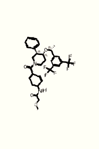 COCC(=O)NC1CCC(C(=O)N2CC[C@H](O[C@H](C)c3cc(C(F)(F)F)cc(C(F)(F)F)c3)[C@H](c3ccccc3)C2)CC1